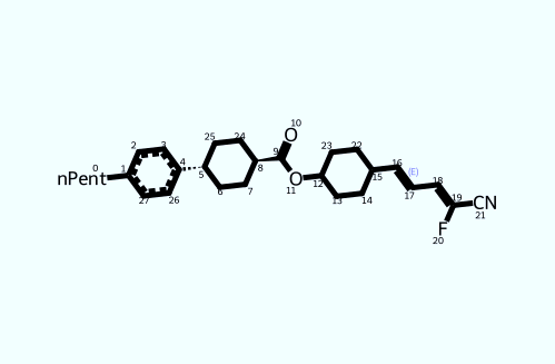 CCCCCc1ccc([C@H]2CC[C@H](C(=O)OC3CCC(/C=C/C=C(F)C#N)CC3)CC2)cc1